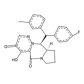 Cc1cccc(C(c2ccc(F)cc2)[C@H]2[C@H]3CCCN3C(=O)c3c(O)c(=O)cnn32)c1